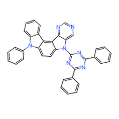 c1ccc(-c2nc(-c3ccccc3)nc(-n3c4cncnc4c4c5c6ccccc6n(-c6ccccc6)c5ccc43)n2)cc1